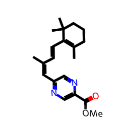 COC(=O)c1cnc(C=C(C)C=CC2=C(C)CCCC2(C)C)cn1